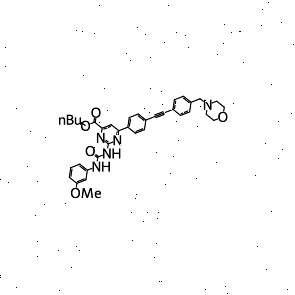 CCCCOC(=O)c1cc(-c2ccc(C#Cc3ccc(CN4CCOCC4)cc3)cc2)nc(NC(=O)Nc2cccc(OC)c2)n1